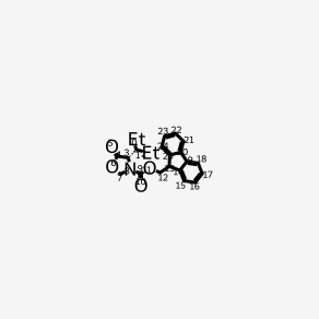 CCC(CC)[C@H]1C(=O)OCN1C(=O)OCC1c2ccccc2-c2ccccc21